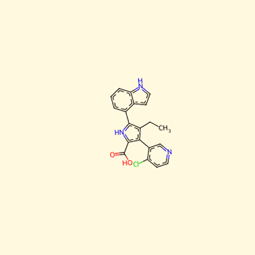 CCc1c(-c2cccc3[nH]ccc23)[nH]c(C(=O)O)c1-c1cnccc1Cl